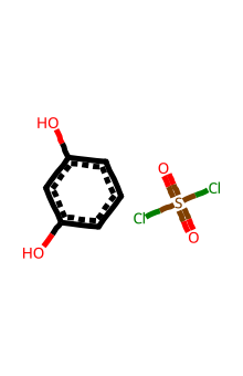 O=S(=O)(Cl)Cl.Oc1cccc(O)c1